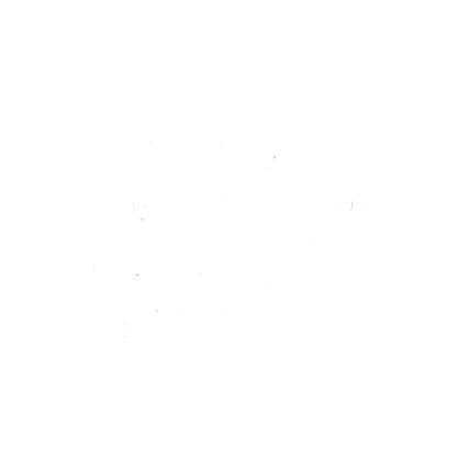 Cc1ccc(S(=O)(=O)Oc2ccc(C=O)cc2OS(=O)(=O)c2ccc(C)c(O)c2)cc1O